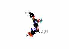 CCS(=O)(=O)c1ccc([C@H](CCC(=O)O)NC(=O)c2ccc(N3CC(SOc4ccc(C(F)(F)F)cc4)C[C@H]3COC(F)F)cc2)cc1